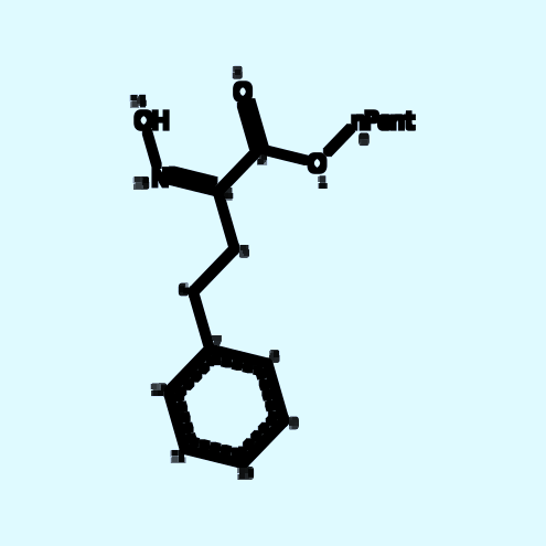 CCCCCOC(=O)C(CCc1ccccc1)=NO